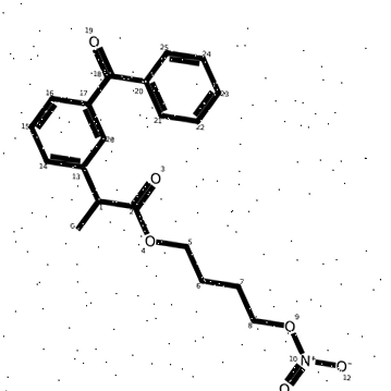 CC(C(=O)OCCCCO[N+](=O)[O-])c1cccc(C(=O)c2ccccc2)c1